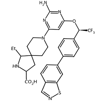 CCC1NC(C(=O)O)CC12CCN(c1cc(O[C@H](c3ccc(-c4ccc5cnsc5c4)cc3)C(F)(F)F)nc(N)n1)CC2